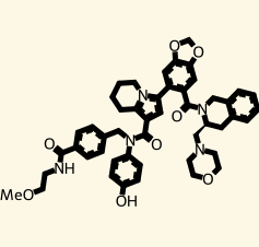 COCCNC(=O)c1ccc(CN(C(=O)c2cc(-c3cc4c(cc3C(=O)N3Cc5ccccc5C[C@H]3CN3CCOCC3)OCO4)n3c2CCCC3)c2ccc(O)cc2)cc1